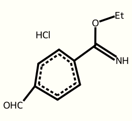 CCOC(=N)c1ccc(C=O)cc1.Cl